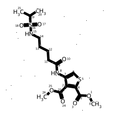 COC(=O)c1scc(NC(=O)CCCCNS(=O)(=O)C(C)C)c1C(=O)OC